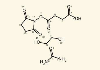 NC(N)=O.O=C(O)CCC(=O)ON1C(=O)CCC1=O.OCCO